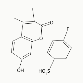 Cc1c(C)c2ccc(O)cc2oc1=O.O=S(=O)(O)c1ccc(F)cc1